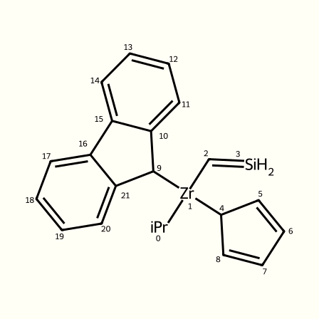 C[CH](C)[Zr]([CH]=[SiH2])([CH]1C=CC=C1)[CH]1c2ccccc2-c2ccccc21